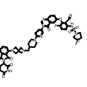 N#Cc1c(NS(=O)(=O)N2CC[C@@H](F)C2)ccc(F)c1Oc1ccc2ncn(-c3ccc(N4CCC(CN5CC6(C5)CN(c5cccc7c5C(=O)N(C5CCC(=O)NC5=O)C7=O)C6)CC4)nc3)c(=O)c2c1